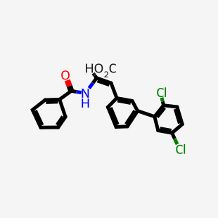 O=C(O)/C(=C/c1cccc(-c2cc(Cl)ccc2Cl)c1)NC(=O)c1ccccc1